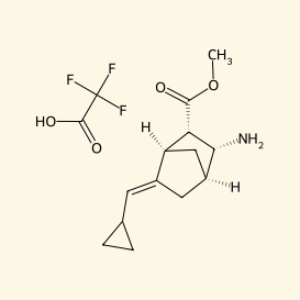 COC(=O)[C@@H]1[C@H](N)[C@H]2CC(=CC3CC3)[C@@H]1C2.O=C(O)C(F)(F)F